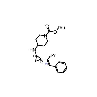 CC(C)/C(=C\c1ccccc1)[C@@H]1C[C@H]1NC1CCN(C(=O)OC(C)(C)C)CC1